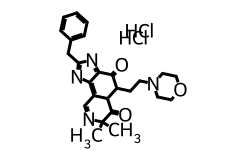 CC1(C)N=CC2=C3N=C(Cc4ccccc4)N=C3C(=O)C(CCN3CCOCC3)C2C1=O.Cl.Cl